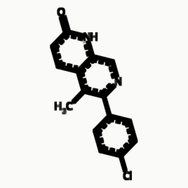 Cc1c(-c2ccc(Cl)cc2)ncc2[nH]c(=O)ccc12